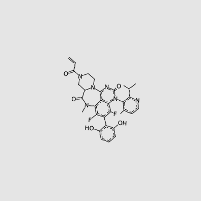 C=CC(=O)N1CCN2c3nc(=O)n(-c4c(C)ccnc4C(C)C)c4c(F)c(-c5c(O)cccc5O)c(F)c(c34)N(C)C(=O)C2C1